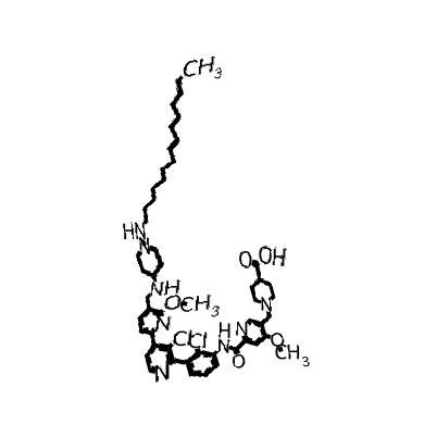 CCCCCCCCCCCCCCCNN1CCC(NCc2ccc(-c3ccnc(-c4cccc(NC(=O)c5cc(OC)c(CN6CCC(C(=O)O)CC6)cn5)c4Cl)c3Cl)nc2OC)CC1